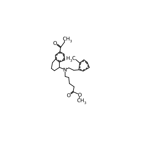 CCC(=O)c1ccc2c(c1)CCCC2N(CCCCC(=O)OC)CCc1ccccc1C